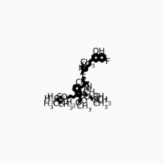 COC(=O)c1c(CCCO[Si](C)(C)C(C)(C)C)c2ccc(Cl)c(-c3c(CSCc4cc(CCc5cc(O)c6ccc(F)cc6c5)n(C)n4)cnn3C)c2n1COCC[Si](C)(C)C